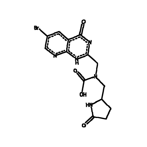 O=C1CCC(CN(Cc2nc(=O)c3cc(Br)cnc3[nH]2)C(=O)O)N1